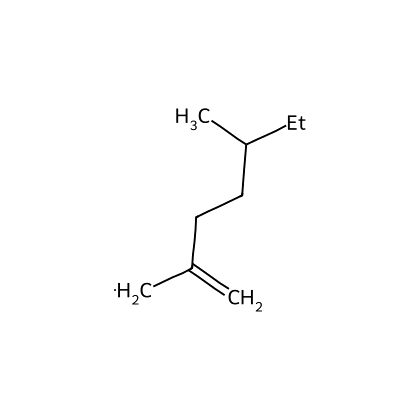 [CH2]C(=C)CCC(C)CC